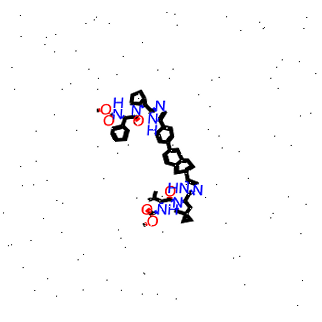 COC(=O)NC(C(=O)N1C2CCC(C2)C1c1ncc(-c2ccc(-c3ccc4cc(-c5cnc(C6CC7(CC7)CN6C(=O)C(NC(=O)OC)C(C)C)[nH]5)ccc4c3)cc2)[nH]1)c1ccccc1